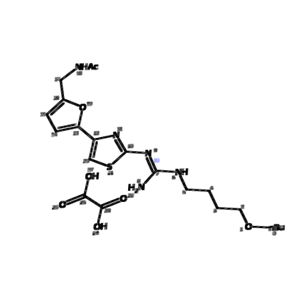 CCCCOCCCCN/C(N)=N/c1nc(-c2ccc(CNC(C)=O)o2)cs1.O=C(O)C(=O)O